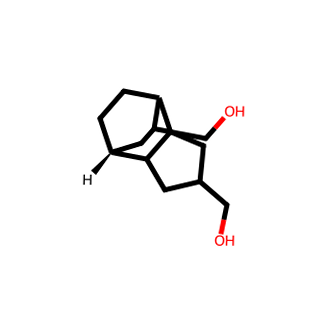 OCC1CC2C3CC[C@H](CC3CO)C2C1